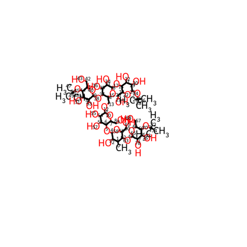 CC1C(O)C(OC2C(CO)OC(OCC3OC(OC4C(CO)OC(OC(C)(C)C)C(O)C4O)C(O)C(O)C3OC3OC(CO)C(OC(C)(C)C)C(O)C3O)C(O)C2O)OC(CO)C1OC1OC(CO)C(OC(C)(C)C)C(O)C1O